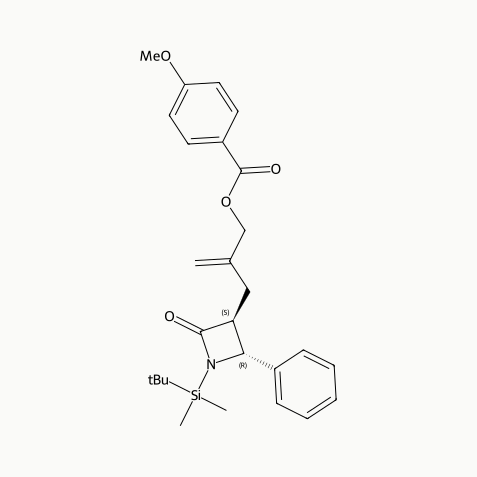 C=C(COC(=O)c1ccc(OC)cc1)C[C@@H]1C(=O)N([Si](C)(C)C(C)(C)C)[C@H]1c1ccccc1